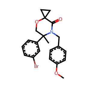 COc1ccc(CN2C(=O)C3(CC3)OCC2(C)c2cccc(Br)c2)cc1